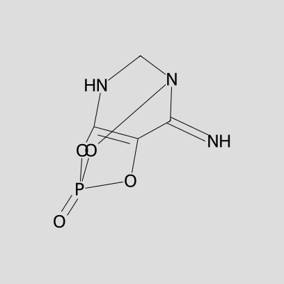 N=C1C2=C3NCN1OP(=O)(O3)O2